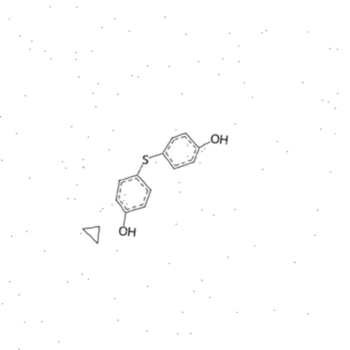 C1CC1.Oc1ccc(Sc2ccc(O)cc2)cc1